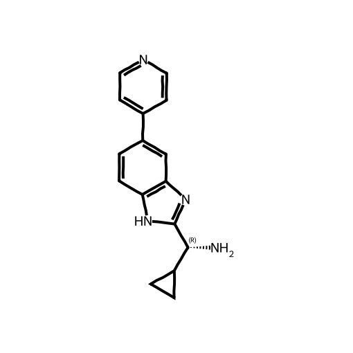 N[C@@H](c1nc2cc(-c3ccncc3)ccc2[nH]1)C1CC1